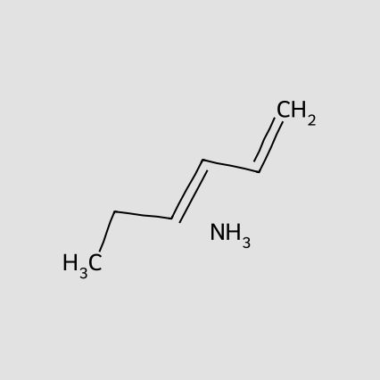 C=CC=CCC.N